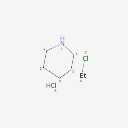 C1CCNCC1.CCCl.Cl